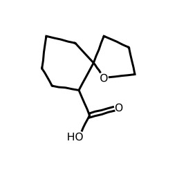 O=C(O)C1CCCCC12CCCO2